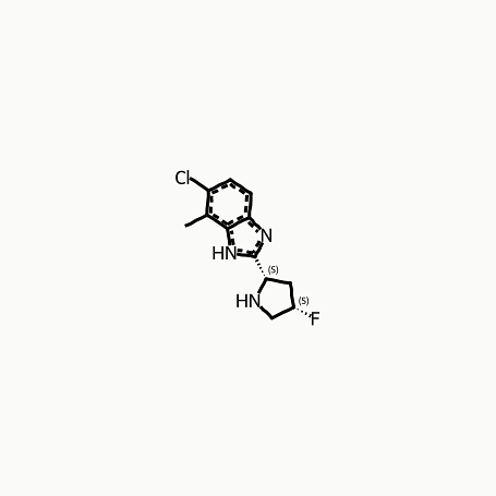 Cc1c(Cl)ccc2nc([C@@H]3C[C@H](F)CN3)[nH]c12